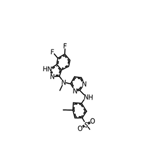 Cc1cc(Nc2nccc(N(C)c3n[nH]c4c(F)c(F)ccc34)n2)cc(S(C)(=O)=O)c1